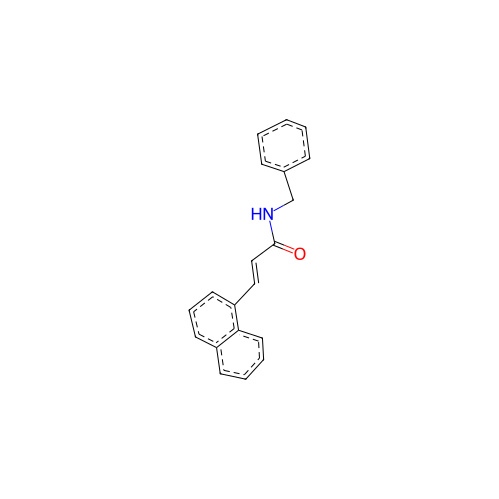 O=C(C=Cc1cccc2ccccc12)NCc1ccccc1